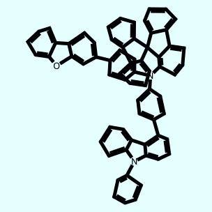 c1ccc(-n2c3ccccc3c3c(-c4ccc(N(c5ccc(-c6ccc7c(c6)oc6ccccc67)cc5)c5cccc6c5C5(c7ccccc7-c7ccccc75)c5ccccc5-6)cc4)cccc32)cc1